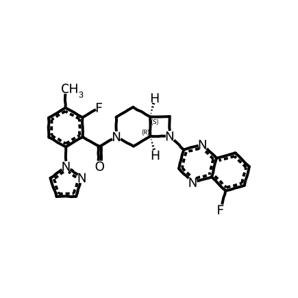 Cc1ccc(-n2cccn2)c(C(=O)N2CC[C@H]3CN(c4cnc5c(F)cccc5n4)[C@H]3C2)c1F